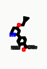 CNc1cc(C2CC(OCC3CC3)CCN2)ccc1C(=O)OC